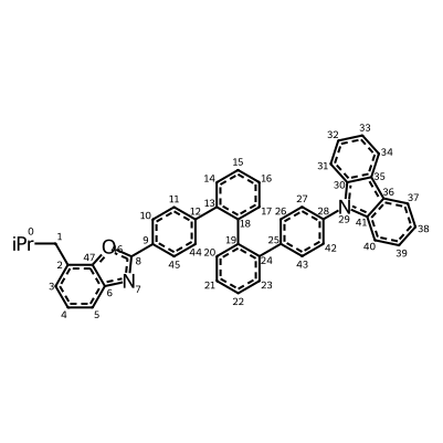 CC(C)Cc1cccc2nc(-c3ccc(-c4ccccc4-c4ccccc4-c4ccc(-n5c6ccccc6c6ccccc65)cc4)cc3)oc12